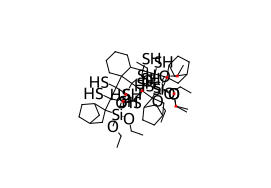 CCO[Si](OCC)(OCC)C1(C(S)(S)C(S)(S)C2CCCCC2(C(S)(S)C(S)(S)C2([Si](OCC)(OCC)OCC)CC3CCC2C3)C(S)(S)C(S)(S)C2([Si](OCC)(OCC)OCC)CC3CCC2C3)CC2CCC1C2